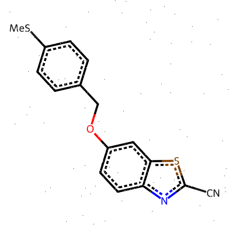 CSc1ccc(COc2ccc3nc(C#N)sc3c2)cc1